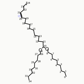 CCCCCCCCCOC(CCCCCCCCC/C=C\CCI)OCCCCCCCCC